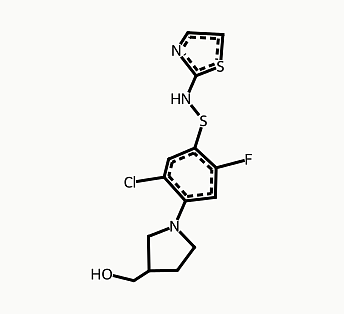 OCC1CCN(c2cc(F)c(SNc3nccs3)cc2Cl)C1